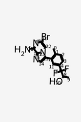 Cc1ccc(C(F)(F)C(C)O)cc1-c1cnc2c(N)nc(Br)cn12